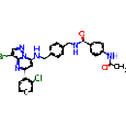 CC(=O)Nc1ccc(C(=O)NCc2ccc(CNc3cc(-c4ccccc4Cl)nc4c(Br)cnn34)cc2)cc1